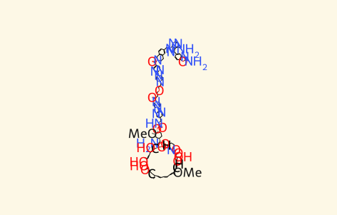 CO[C@H]1C[C@@H]2CC[C@@H](C)[C@@](O)(O2)C(=O)C(=O)N2CCCC[C@H]2C(=O)O[C@H]([C@H](N)C[C@@H]2CC[C@@H](OC(=O)NCc3cnc(N4CCN(C(=O)CCOCCN5CCN(c6ncc(C(=O)N7CCc8cc(Cn9nc(-c%10ccc%11oc(N)nc%11c%10)c%10c(N)ncnc%109)ccc8C7)cn6)CC5)CC4)nc3)[C@H](OC)C2)C[C@@H](O)[C@H](C)/C=C(\C)[C@@H](O)[C@@H](O)C(=O)[C@H](C)C[C@H](C)/C=C/C=C/C=C/1C